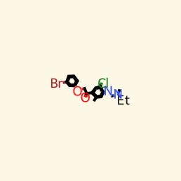 CCN(C)C=Nc1cc(C)c(C(=O)COc2cccc(Br)c2)cc1Cl